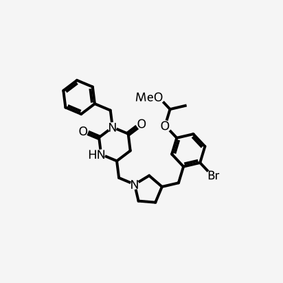 COC(C)Oc1ccc(Br)c(CC2CCN(CC3CC(=O)N(Cc4ccccc4)C(=O)N3)C2)c1